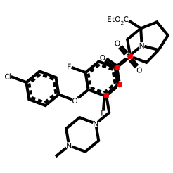 CCOC(=O)C12CCC(CN(C(=O)OCCN3CCN(C)CC3)C1)N2S(=O)(=O)c1cc(F)c(Oc2ccc(Cl)cc2)c(F)c1